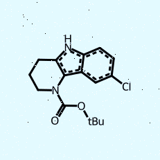 CC(C)(C)OC(=O)N1CCCc2[nH]c3ccc(Cl)cc3c21